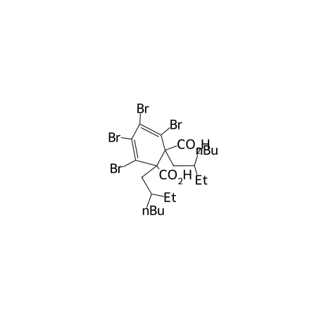 CCCCC(CC)CC1(C(=O)O)C(Br)=C(Br)C(Br)=C(Br)C1(CC(CC)CCCC)C(=O)O